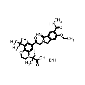 Br.CCOc1cc2c(cc1C(=O)NC)C(=N)N(CC(=O)c1cc3c(c(C(C)(C)C)c1)OCCN3C(C)(C)C(=O)O)C2